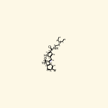 CCN(CC)CCNC(=O)c1c[nH]c(/C=C2\C(=O)Nc3ccc(F)cc32)c1